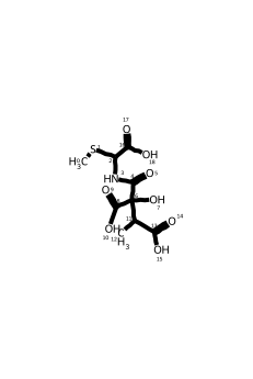 CSC(NC(=O)C(O)(C(=O)O)C(C)C(=O)O)C(=O)O